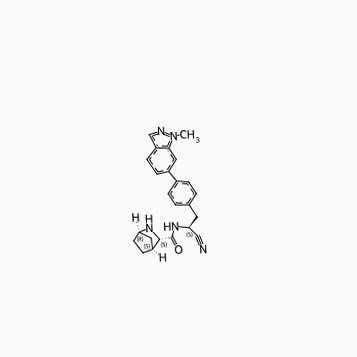 Cn1ncc2ccc(-c3ccc(C[C@@H](C#N)NC(=O)[C@H]4N[C@@H]5CC[C@H]4C5)cc3)cc21